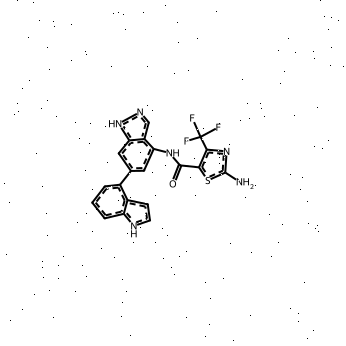 Nc1nc(C(F)(F)F)c(C(=O)Nc2cc(-c3cccc4[nH]ccc34)cc3[nH]ncc23)s1